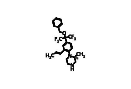 CC=Cc1cc(C(OCc2ccccc2)(C(F)(F)F)C(F)(F)F)ccc1N1CCNC[C@@H]1C